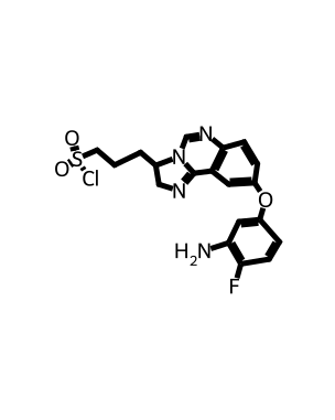 Nc1cc(Oc2ccc3c(c2)C2=NCC(CCCS(=O)(=O)Cl)N2C=N3)ccc1F